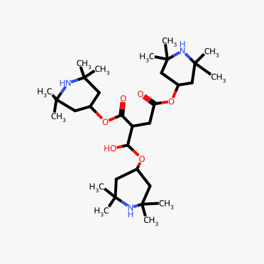 CC1(C)CC(OC(=O)CC(C(=O)OC2CC(C)(C)NC(C)(C)C2)C(O)OC2CC(C)(C)NC(C)(C)C2)CC(C)(C)N1